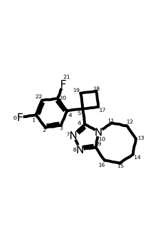 Fc1ccc(C2(c3nnc4n3CCCCCC4)CCC2)c(F)c1